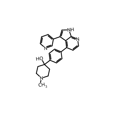 CN1CCC(O)(c2ccc(-c3ccnc4[nH]cc(-c5cccnc5)c34)cc2)CC1